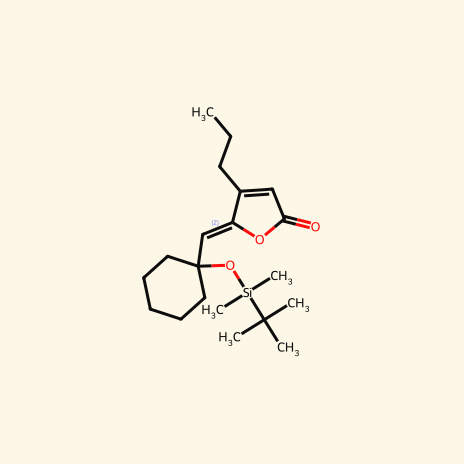 CCCC1=CC(=O)O/C1=C\C1(O[Si](C)(C)C(C)(C)C)CCCCC1